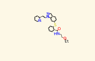 CCOCCNC(=O)c1ccccc1Sc1ccc2cnn(C=Cc3ccccn3)c2c1